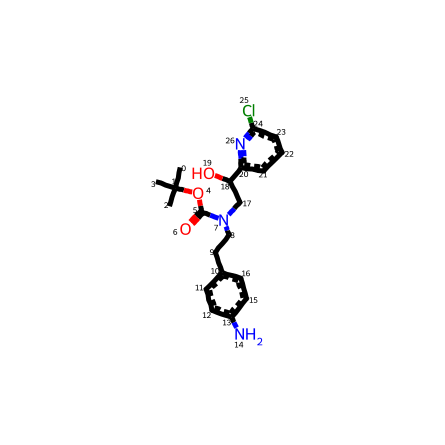 CC(C)(C)OC(=O)N(CCc1ccc(N)cc1)CC(O)c1cccc(Cl)n1